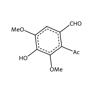 COc1cc(C=O)c(C(C)=O)c(OC)c1O